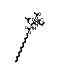 CCCCCCCCCCCCCOC(=O)N[C@@H](CC(C)C)C(=O)N[C@H]1CCO[C@H]1OC(C)=O